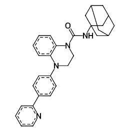 O=C(NC12CC3CC(CC(C3)C1)C2)N1CCN(c2ccc(-c3ccccn3)cc2)c2ccccc21